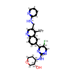 CC(C)c1c(CNc2ccccn2)cnc2ccc(-c3nc(N[C@@H]4CCOC[C@H]4O)ncc3F)cc12